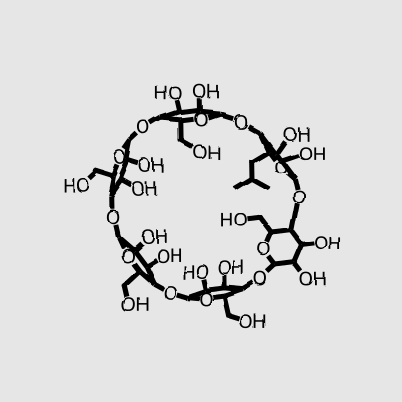 CC(C)CC1OC2OC3C(CO)OC(OC4C(CO)OC(OC5C(CO)OC(OC6C(CO)OC(OC7C(CO)OC(OC1C(O)C2O)C(O)C7O)C(O)C6O)C(O)C5O)C(O)C4O)C(O)C3O